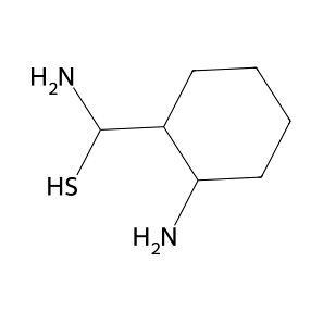 NC(S)C1CCCCC1N